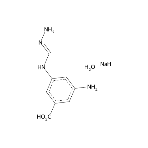 NN=CNc1cc(N)cc(C(=O)O)c1.O.[NaH]